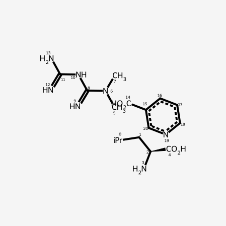 CC(C)C[C@H](N)C(=O)O.CN(C)C(=N)NC(=N)N.O=C(O)c1cccnc1